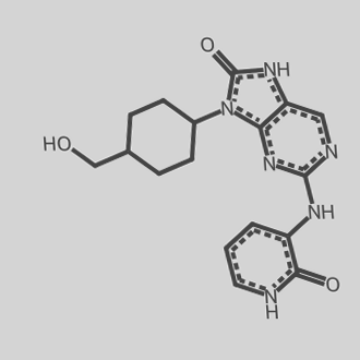 O=c1[nH]cccc1Nc1ncc2[nH]c(=O)n(C3CCC(CO)CC3)c2n1